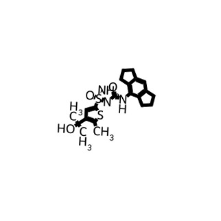 Cc1sc([S@@](N)(=O)=NC(=O)Nc2c3c(cc4c2CCC4)CCC3)cc1C(C)(C)O